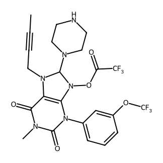 CC#CCN1c2c(n(-c3cccc(OC(F)(F)F)c3)c(=O)n(C)c2=O)N(OC(=O)C(F)(F)F)C1N1CCNCC1